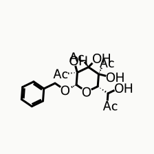 CC(=O)C(O)[C@@H]1O[C@H](OCc2ccccc2)[C@](O)(C(C)=O)[C@@](O)(C(C)=O)[C@]1(O)C(C)=O